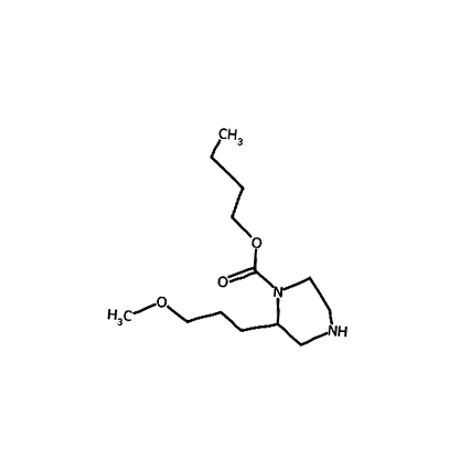 CCCCOC(=O)N1CCNCC1CCCOC